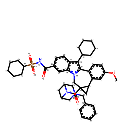 COc1ccc2c(c1)C1CC1(C(=O)N1C3CC1CN(Cc1ccccc1)C3)Cn1c-2c(C2CCCCC2)c2ccc(C(=O)NS(=O)(=O)C3CCCCC3)cc21